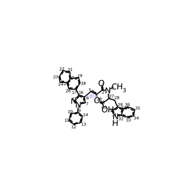 CN(C(=O)/C=C/c1cn(-c2ccccc2)nc1-c1ccc2ccccc2c1)C(Cc1c[nH]c2ccccc12)C(=O)O